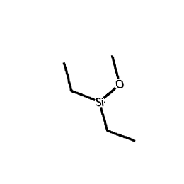 CC[Si](CC)OC